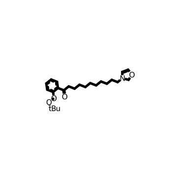 CC(C)(C)OOc1ccccc1C(=O)CCCCCCCCCCN1C=COC1